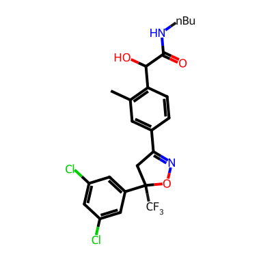 CCCCNC(=O)C(O)c1ccc(C2=NOC(c3cc(Cl)cc(Cl)c3)(C(F)(F)F)C2)cc1C